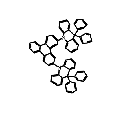 c1ccc(C2(c3ccccc3)c3ccccc3N(c3ccc4c5ccccc5c5ccc(N6c7ccccc7C(c7ccccc7)(c7ccccc7)c7ccccc76)cc5c4c3)c3ccccc32)cc1